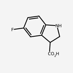 O=C(O)C1CNc2ccc(F)cc21